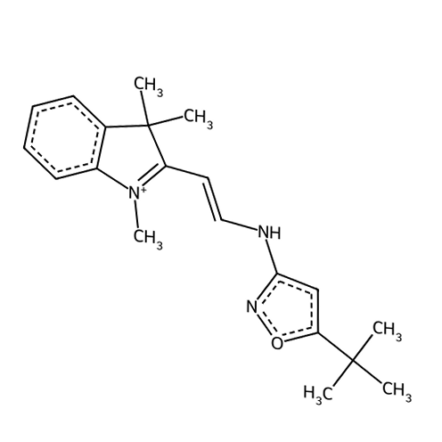 C[N+]1=C(C=CNc2cc(C(C)(C)C)on2)C(C)(C)c2ccccc21